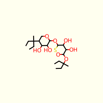 CCC(C)(CC)OC1OSC(OC2OCC(C(C)(CC)CC)C(O)C2O)C(O)C1O